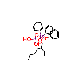 CCCCC(CC)COP(Oc1ccccc1)(OP(O)O)(c1ccccc1)c1ccccc1